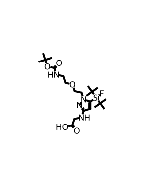 CC(C)(C)OC(=O)NCCOCCn1nc(NCC(=O)O)cc1[Si](F)(C(C)(C)C)C(C)(C)C